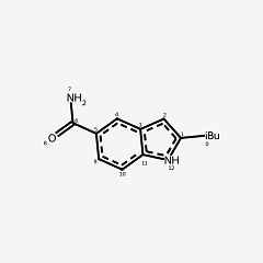 CCC(C)c1cc2cc(C(N)=O)ccc2[nH]1